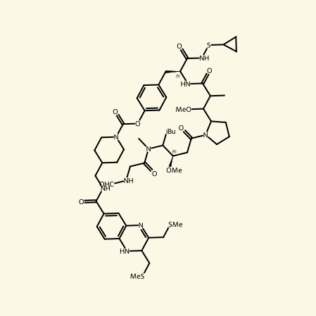 CCC(C)C([C@@H](CC(=O)N1CCCC1C(OC)C(C)C(=O)N[C@@H](Cc1ccc(OC(=O)N2CCC(CNC(=O)c3ccc4c(c3)N=C(CSC)C(CSC)N4)CC2)cc1)C(=O)NSC1CC1)OC)N(C)C(=O)CNC=O